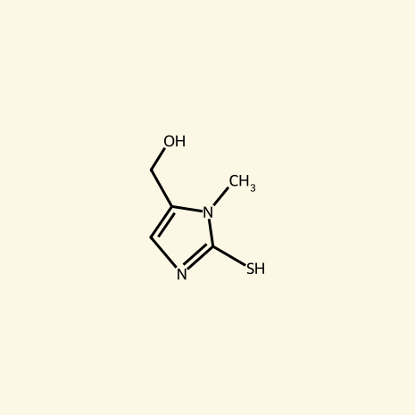 Cn1c(CO)cnc1S